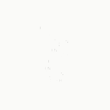 CCOc1ccc2ncc(C(=O)Oc3ccc4nc(C)c(C(=O)O)c(N)c4c3C)c(N)c2c1